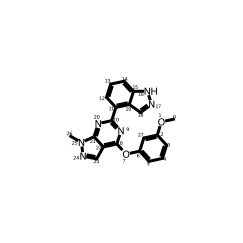 COc1cccc(Oc2nc(-c3cccc4[nH]ncc34)nc3c2cnn3C)c1